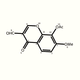 COc1ccc2c(=O)c(C=O)coc2c1OC(C)=O